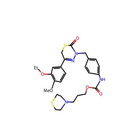 CCOc1cc(C2=NN(Cc3ccc(NC(=O)OCCCN4CCSCC4)cc3)C(=O)SC2)ccc1OC